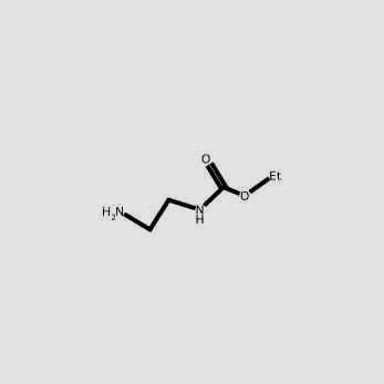 CCOC(=O)NCCN